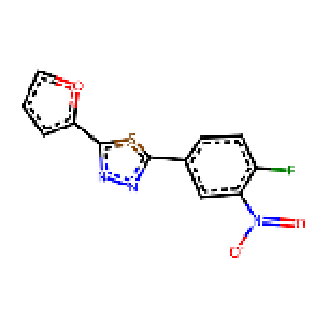 O=[N+]([O-])c1cc(-c2nnc(-c3ccco3)s2)ccc1F